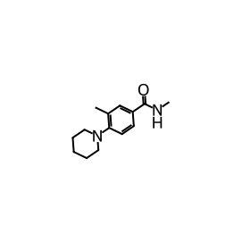 CNC(=O)c1ccc(N2CCCCC2)c(C)c1